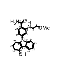 COCCNc1cc(-n2c3c(c4ccccc42)C(O)CCC3)ccc1C(N)=O